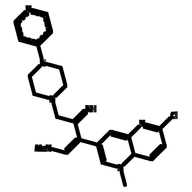 CN/C=C(\C(=N)CN1CCN(c2ccncc2)CC1)C1=CN(C)C2C=CC(Cl)=NC2=C1